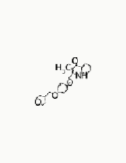 Cc1c(COc2ccc(OCC3CCOCC3)cc2)[nH]c2ccccc2c1=O